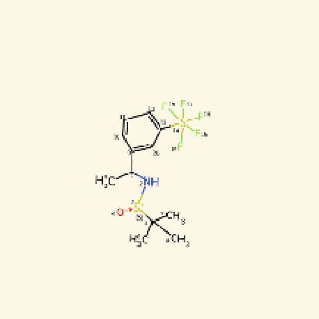 CC(N[S@+]([O-])C(C)(C)C)c1cccc(S(F)(F)(F)(F)F)c1